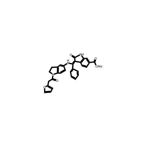 COC(=O)c1ccc2c(c1)NC(=O)/C2=C(\Nc1ccc2c(c1)CCN2C(=O)Cc1ccco1)c1ccccc1